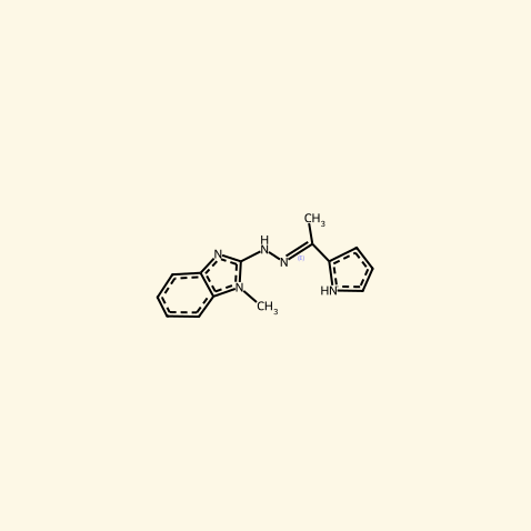 C/C(=N\Nc1nc2ccccc2n1C)c1ccc[nH]1